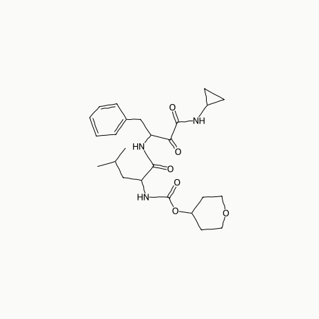 CC(C)CC(NC(=O)OC1CCOCC1)C(=O)NC(Cc1ccccc1)C(=O)C(=O)NC1CC1